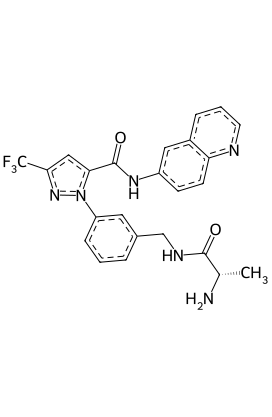 C[C@H](N)C(=O)NCc1cccc(-n2nc(C(F)(F)F)cc2C(=O)Nc2ccc3ncccc3c2)c1